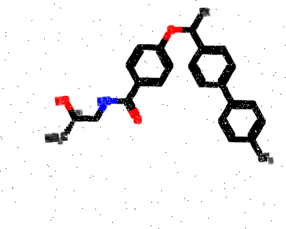 CCC(Oc1ccc(C(=O)NC[C@@H](O)C(=O)O)cc1)c1ccc(-c2ccc(C(F)(F)F)cc2)cc1